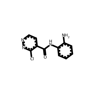 Nc1ccccc1NC(=O)c1ccnnc1Cl